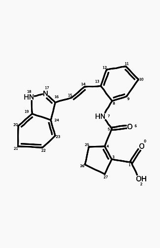 O=C(O)C1=C(C(=O)Nc2ccccc2C=Cc2n[nH]c3ccccc23)CCC1